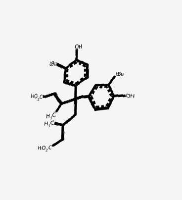 CC(CC(=O)O)CC(c1ccc(O)c(C(C)(C)C)c1)(c1ccc(O)c(C(C)(C)C)c1)C(C)CC(=O)O